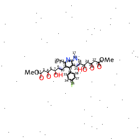 COC(=O)CC(=O)CC(O)/C=C/c1c(C(C)C)nc(N(C)C)c(/C=C/C(O)CC(=O)CC(=O)OC)c1-c1ccc(F)cc1